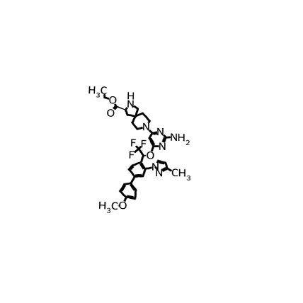 CCOC(=O)[C@@H]1CC2(CCN(c3cc(O[C@H](c4ccc(-c5ccc(OC)cc5)cc4-n4ccc(C)n4)C(F)(F)F)nc(N)n3)CC2)CN1